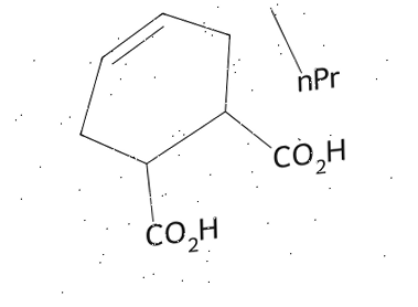 CCCC.O=C(O)C1CC=CCC1C(=O)O